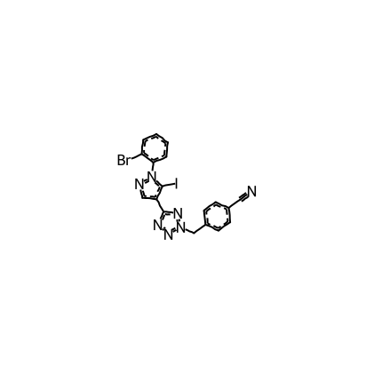 N#Cc1ccc(Cn2nnc(-c3cnn(-c4ccccc4Br)c3I)n2)cc1